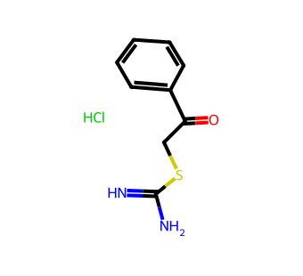 Cl.N=C(N)SCC(=O)c1ccccc1